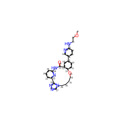 COCCNc1ccc(-c2ccc3c(c2)C(=O)Nc2cccc(n2)-c2nncn2CCCCO3)cn1